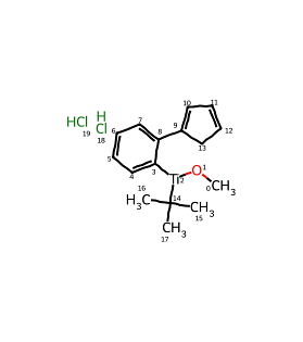 C[O][Ti]([c]1ccccc1C1=CC=CC1)[C](C)(C)C.Cl.Cl